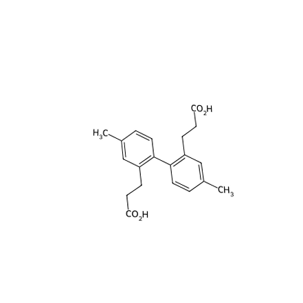 Cc1ccc(-c2ccc(C)cc2CCC(=O)O)c(CCC(=O)O)c1